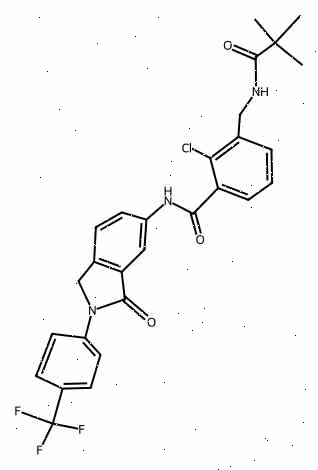 CC(C)(C)C(=O)NCc1cccc(C(=O)Nc2ccc3c(c2)C(=O)N(c2ccc(C(F)(F)F)cc2)C3)c1Cl